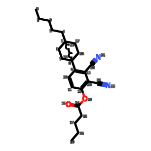 CCCCCC12CCC(c3ccc(OC(=O)CCCC)c(C#N)c3C#N)(CC1)CC2